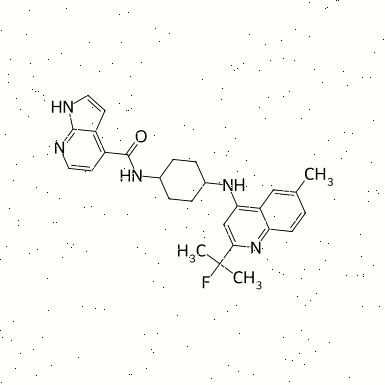 Cc1ccc2nc(C(C)(C)F)cc(NC3CCC(NC(=O)c4ccnc5[nH]ccc45)CC3)c2c1